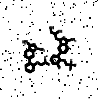 Cn1nc(N)c2ccc(-c3cccnc3OCC(F)F)cc21.Nc1nn(CC(O)CO)c2cc(-c3cccc(F)c3OCC(F)(F)F)ccc12